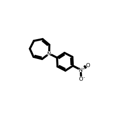 O=[N+]([O-])c1ccc(N2C=CCCC=C2)cc1